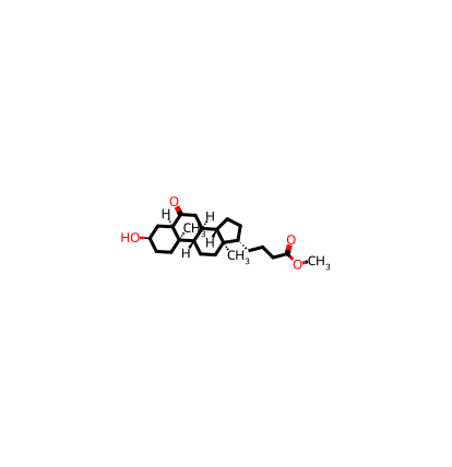 COC(=O)CCC[C@H]1CC[C@H]2[C@@H]3CC(=O)[C@@H]4C[C@H](O)CC[C@]4(C)[C@H]3CC[C@]12C